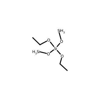 CCO[Si](O[SiH3])(O[SiH3])OCC